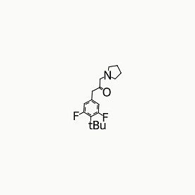 CC(C)(C)c1c(F)cc(CC(=O)CN2CCCC2)cc1F